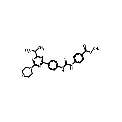 COC(=O)c1ccc(NC(=O)Nc2ccc(-c3nc(C(C)C)nc(N4CCOCC4)n3)cc2)cc1